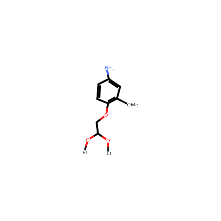 CCOC(COc1ccc(N)cc1OC)OCC